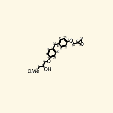 COCC(O)COc1ccc(Cc2ccc(OCC3CO3)cc2)cc1